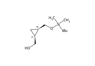 CC(C)(C)[Si](C)(C)OC[C@@H]1C[C@@H]1CO